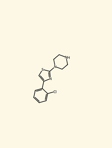 Clc1ccccc1-c1csc(N2CCNCC2)n1